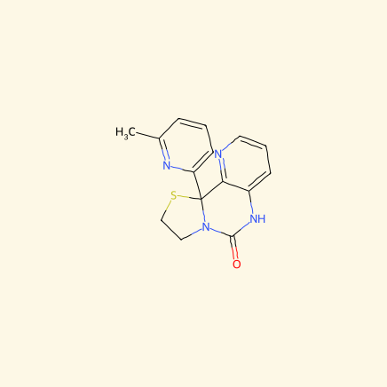 Cc1cccc(C23SCCN2C(=O)Nc2cccnc23)n1